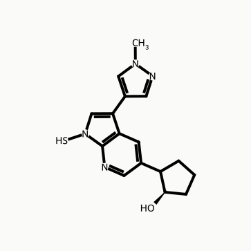 Cn1cc(-c2cn(S)c3ncc(C4CCC[C@H]4O)cc23)cn1